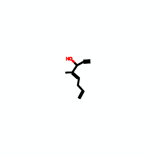 C#CC(O)C(C)=CCC=C